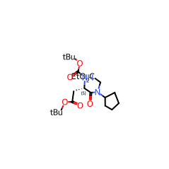 CCOC(=O)CN(C(=O)[C@H](CC(=O)OC(C)(C)C)NC(=O)OC(C)(C)C)C1CCCC1